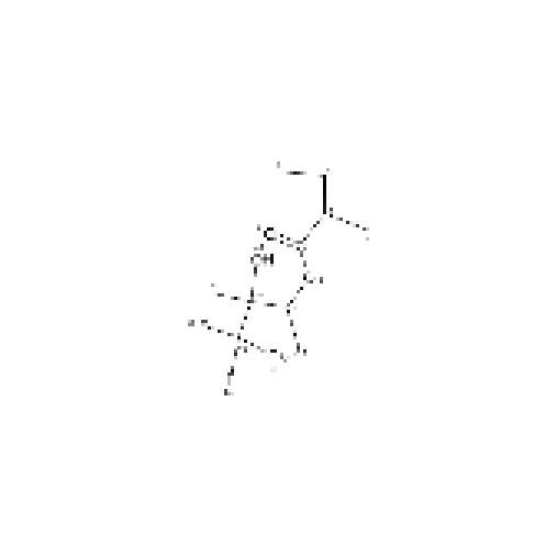 CCC(C)C(=O)OC(CC)C(C)(O)C(F)(F)F